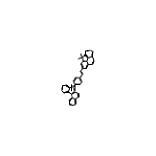 CC1(C)c2cccc3ccc4cc(/C=C/c5ccc(-n6c7ccccc7c7c8ccccc8ccc76)cc5)cc1c4c23